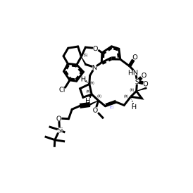 CO[C@@]1(C#CCCO[Si](C)(C)C(C)(C)C)/C=C/C[C@@H]2C[C@@]2(C)S(=O)(=O)NC(=O)c2ccc3c(c2)N(C[C@@H]2CC[C@H]21)C[C@@]1(CCCc2cc(Cl)ccc21)CO3